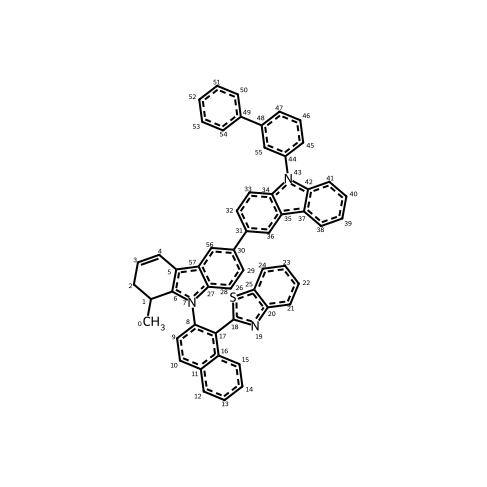 CC1CC=Cc2c1n(-c1ccc3ccccc3c1-c1nc3ccccc3s1)c1ccc(-c3ccc4c(c3)c3ccccc3n4-c3cccc(-c4ccccc4)c3)cc21